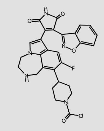 O=C1NC(=O)C(c2cn3c4c(c(C5CCN(C(=O)Cl)CC5)c(F)cc24)CNCC3)=C1c1noc2ccccc12